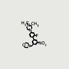 CC1CN(c2ccc(-c3cc(CN4CCOCC4)cc([N+](=O)[O-])c3)c(F)c2)CCN1C